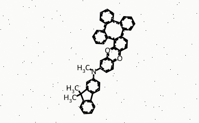 CN(c1ccc2c(c1)C(C)(C)c1ccccc1-2)c1ccc2oc3ccc4c5ccccc5c5ccccc5c5ccccc5c4c3oc2c1